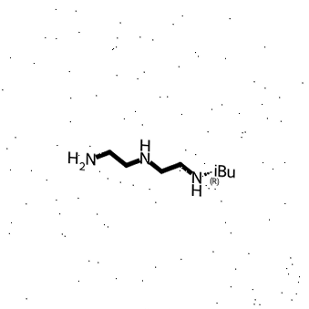 CC[C@@H](C)NCCNCCN